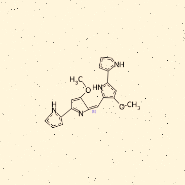 COC1=CC(c2ccc[nH]2)=N/C1=C/c1[nH]c(-c2ccc[nH]2)cc1OC